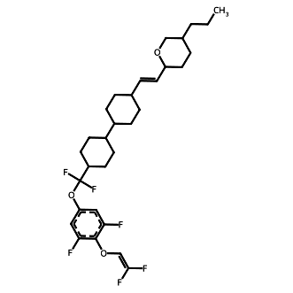 CCCC1CCC(/C=C/C2CCC(C3CCC(C(F)(F)Oc4cc(F)c(OC=C(F)F)c(F)c4)CC3)CC2)OC1